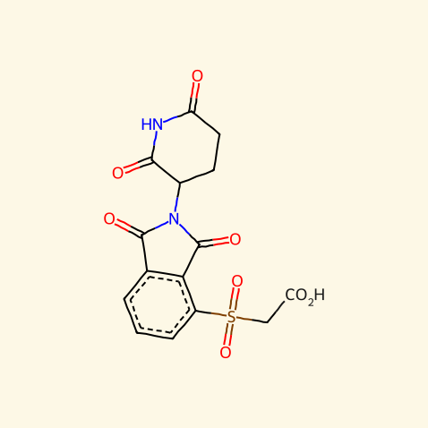 O=C(O)CS(=O)(=O)c1cccc2c1C(=O)N(C1CCC(=O)NC1=O)C2=O